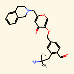 CC(C)(N)Cc1cc(COc2coc(CN3CCc4ccccc4C3)cc2=O)ccc1C=O